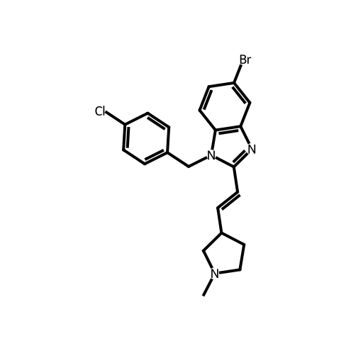 CN1CCC(/C=C/c2nc3cc(Br)ccc3n2Cc2ccc(Cl)cc2)C1